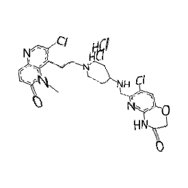 Cl.Cl.Cn1c(=O)ccc2ncc(Cl)c(CCN3CCC(NCc4nc5c(cc4Cl)OCC(=O)N5)CC3)c21